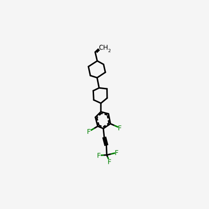 C=CC1CCC(C2CCC(c3cc(F)c(C#CC(F)(F)F)c(F)c3)CC2)CC1